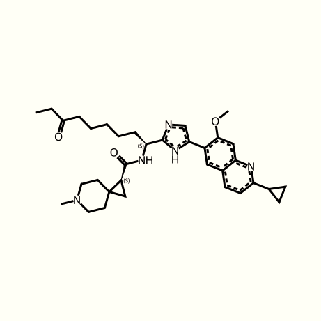 CCC(=O)CCCCC[C@H](NC(=O)[C@H]1CC12CCN(C)CC2)c1ncc(-c2cc3ccc(C4CC4)nc3cc2OC)[nH]1